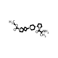 CCOC(=O)N1CCC2(CC(N3CCC([C@@H]4CCCN4C(=O)C(C)N)CC3)C2)C1